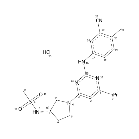 CCCc1cc(N2CC[C@H](NS(C)(=O)=O)C2)nc(Nc2ccc(C)c(C#N)c2)n1.Cl